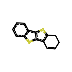 C1=Cc2c(sc3c2sc2ccccc23)CC1